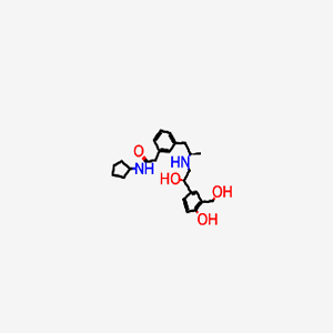 C[C@H](Cc1cccc(CC(=O)NC2CCCC2)c1)NC[C@H](O)c1ccc(O)c(CO)c1